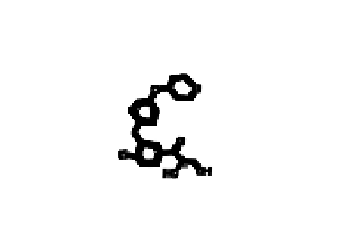 O=C(c1ccc(Cl)c(Cc2ccc(OC3CCOCC3)cc2)c1)[C@H](O)CO